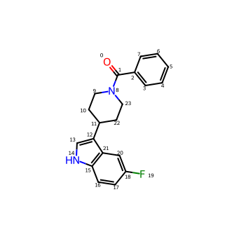 O=C(c1ccccc1)N1CCC(c2c[nH]c3ccc(F)cc23)CC1